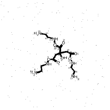 NCCNOC(=O)CC(O)(CC(=O)ONCCN)C(=O)ONCCN